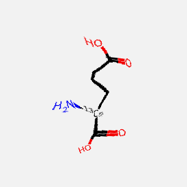 N[13C@@H](CCC(=O)O)C(=O)O